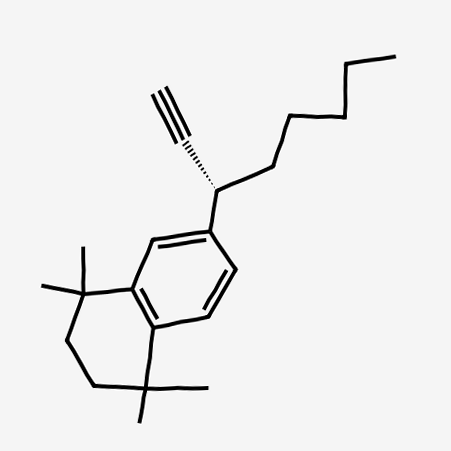 C#C[C@H](CCCCC)c1ccc2c(c1)C(C)(C)CCC2(C)C